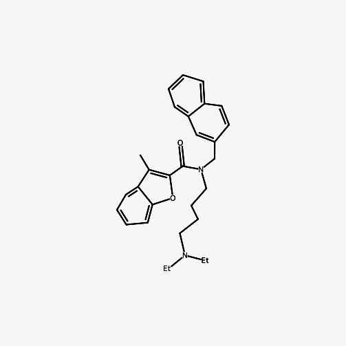 CCN(CC)CCCCN(Cc1ccc2ccccc2c1)C(=O)c1oc2ccccc2c1C